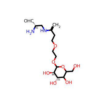 C=C(CCOCCOC1OC(CO)C(O)[C@H](O)[C@H]1O)NC[C@H](N)C=O